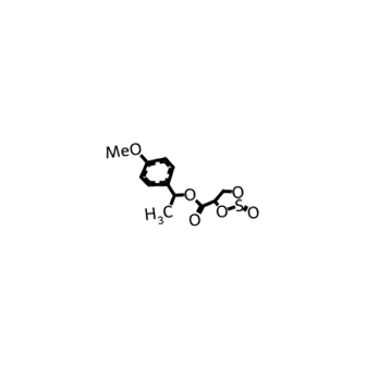 COc1ccc(C(C)OC(=O)C2COS(=O)O2)cc1